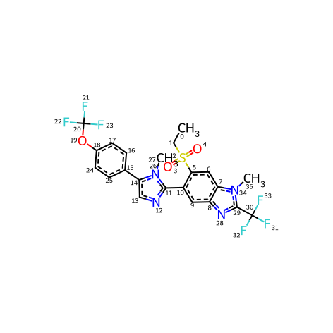 CCS(=O)(=O)c1cc2c(cc1-c1ncc(-c3ccc(OC(F)(F)F)cc3)n1C)nc(C(F)(F)F)n2C